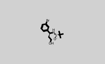 CC(C)(C)[S@@+]([O-])N[C@@H](CCO)c1cccc(Br)c1